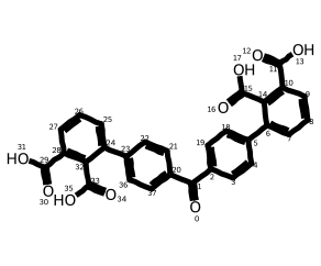 O=C(c1ccc(-c2cccc(C(=O)O)c2C(=O)O)cc1)c1ccc(-c2cccc(C(=O)O)c2C(=O)O)cc1